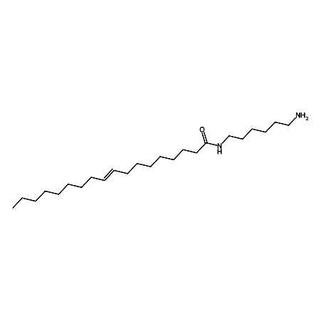 CCCCCCCCC=CCCCCCCCC(=O)NCCCCCCN